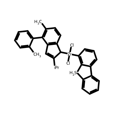 Cc1ccccc1-c1c(C)ccc2c1C=C(C(C)C)[CH]2[Zr]([Cl])([Cl])[c]1cccc2c1[SiH2]c1ccccc1-2